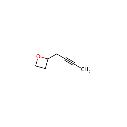 [CH2]C#CCC1CCO1